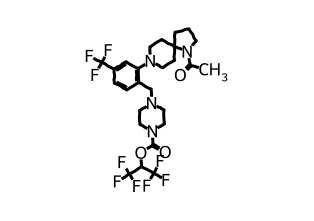 CC(=O)N1CCCC12CCN(c1cc(C(F)(F)F)ccc1CN1CCN(C(=O)OC(C(F)(F)F)C(F)(F)F)CC1)CC2